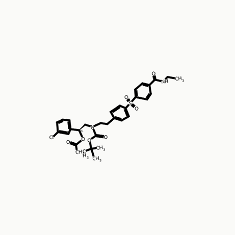 CCNC(=O)c1ccc(S(=O)(=O)c2ccc(CCN(C[C@@H](OC(C)=O)c3cccc(Cl)c3)C(=O)OC(C)(C)C)cc2)cc1